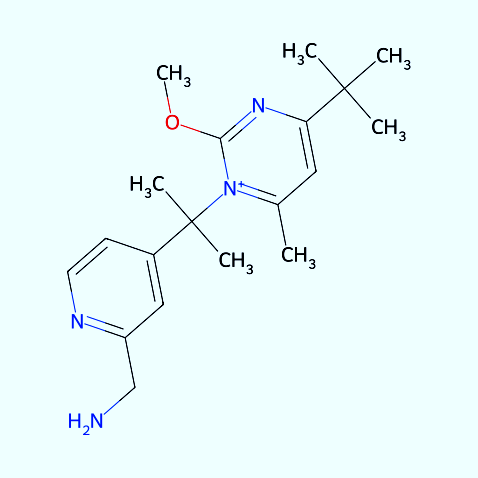 COc1nc(C(C)(C)C)cc(C)[n+]1C(C)(C)c1ccnc(CN)c1